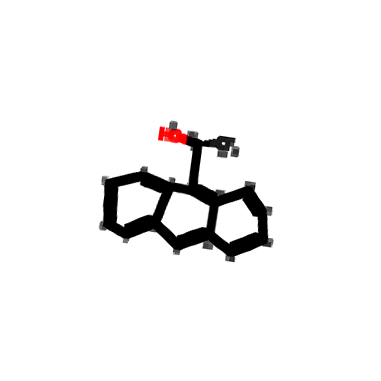 O[C@@H](c1c2ccccc2cc2ccccc12)C(F)(F)F